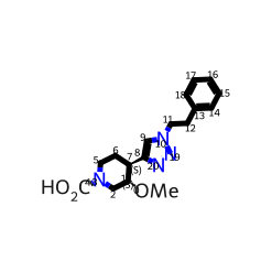 CO[C@@H]1CN(C(=O)O)CC[C@H]1c1cn(CCc2ccccc2)nn1